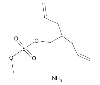 C=CCC(CC=C)COS(=O)(=O)OC.N